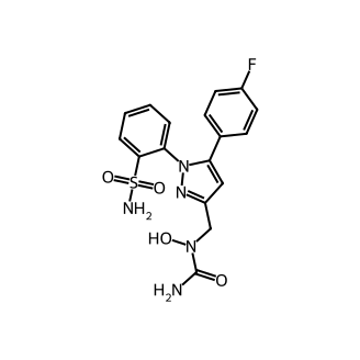 NC(=O)N(O)Cc1cc(-c2ccc(F)cc2)n(-c2ccccc2S(N)(=O)=O)n1